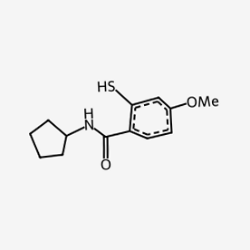 COc1ccc(C(=O)NC2CCCC2)c(S)c1